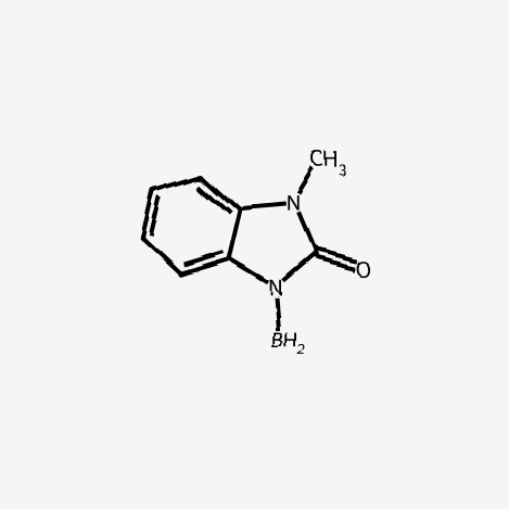 Bn1c(=O)n(C)c2ccccc21